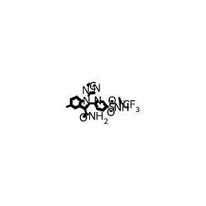 Cc1ccc2c(c1)c(C(N)=O)c(-c1ccc(S(=O)(=O)N[C@@H](C)C(F)(F)F)cn1)n2-c1cnccn1